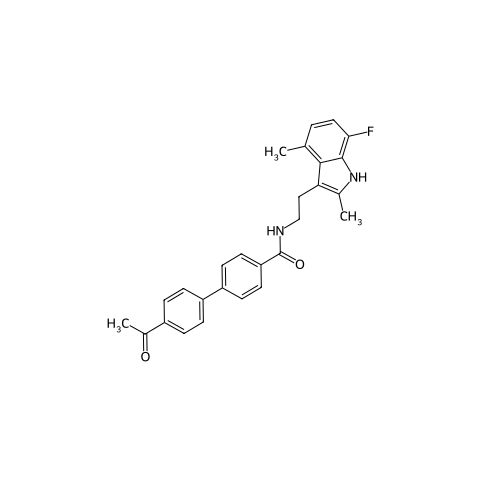 CC(=O)c1ccc(-c2ccc(C(=O)NCCc3c(C)[nH]c4c(F)ccc(C)c34)cc2)cc1